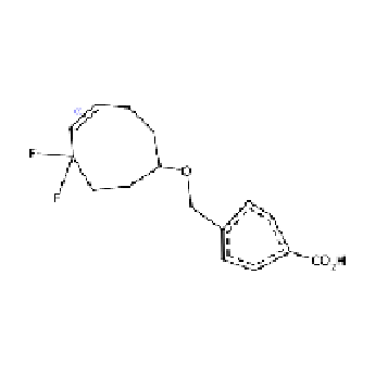 O=C(O)c1ccc(COC2CC/C=C\C(F)(F)CC2)cc1